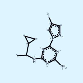 CC(Nc1nc(N)nc(-n2cc(I)cn2)n1)C1CC1